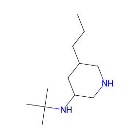 CCCC1CNCC(NC(C)(C)C)C1